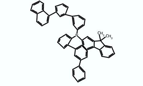 CC1(C)c2ccccc2-c2ccc(N(c3cccc(-c4cccc(-c5cccc6ccccc56)c4)c3)c3ccccc3-c3cccc(-c4ccccc4)c3)cc21